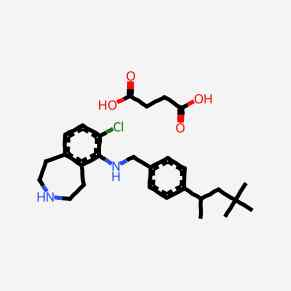 CC(CC(C)(C)C)c1ccc(CNc2c(Cl)ccc3c2CCNCC3)cc1.O=C(O)CCC(=O)O